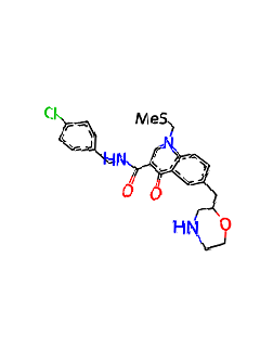 CSCn1cc(C(=O)NCc2ccc(Cl)cc2)c(=O)c2cc(CC3CNCCO3)ccc21